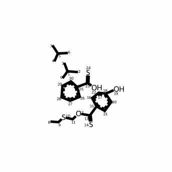 CC(C)C.CC(C)C.CCSCOC(=S)c1ccc(O)cc1.OC(=S)c1ccccc1